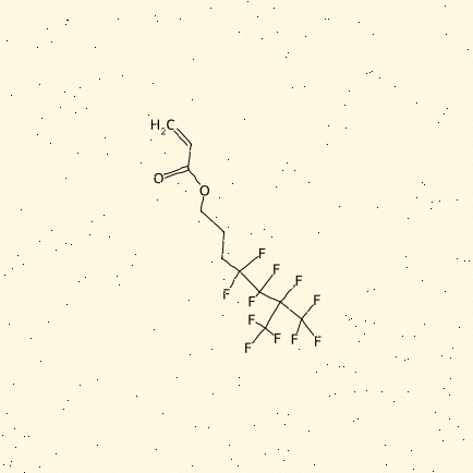 C=CC(=O)OCCCC(F)(F)C(F)(F)C(F)(C(F)(F)F)C(F)(F)F